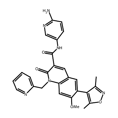 COc1cc2c(cc1-c1c(C)noc1C)cc(C(=O)Nc1ccc(N)nc1)c(=O)n2Cc1ccccn1